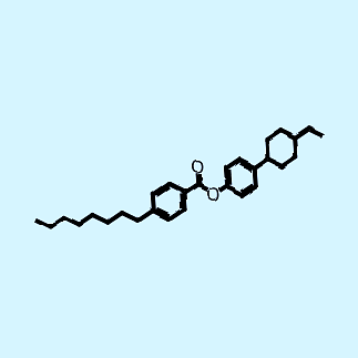 CCCCCCCCc1ccc(C(=O)Oc2ccc(C3CCC(CC)CC3)cc2)cc1